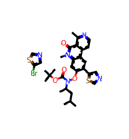 Brc1cncs1.Cc1nccc2c1c(=O)n(C)c1cc(ON(C(=O)OC(C)(C)C)C(C)CC(C)C)c(-c3cncs3)cc21